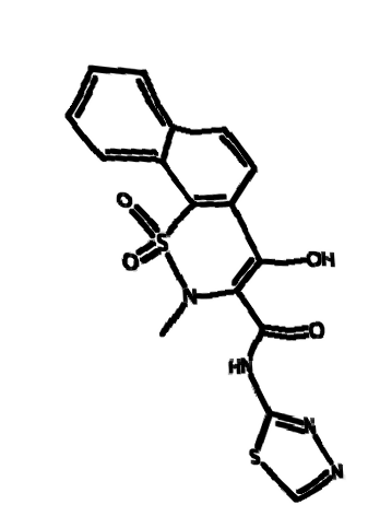 CN1C(C(=O)Nc2nncs2)=C(O)c2ccc3ccccc3c2S1(=O)=O